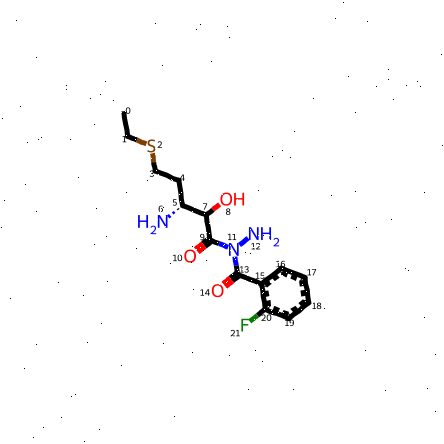 CCSCC[C@@H](N)C(O)C(=O)N(N)C(=O)c1ccccc1F